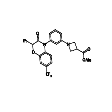 COC(=O)C1CN(c2cccc(N3C(=O)C(C(C)C)Oc4cc(C(F)(F)F)ccc43)c2)C1